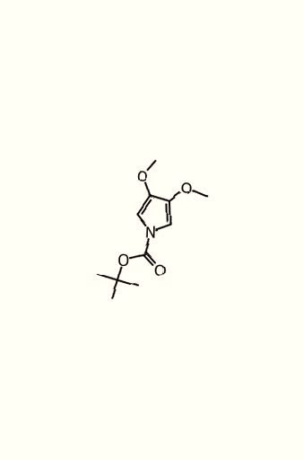 COc1cn(C(=O)OC(C)(C)C)cc1OC